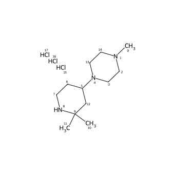 CN1CCN(C2CCNC(C)(C)C2)CC1.Cl.Cl.Cl